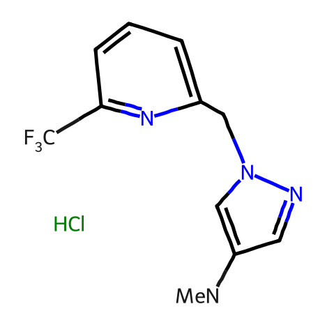 CNc1cnn(Cc2cccc(C(F)(F)F)n2)c1.Cl